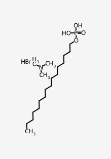 Br.CCCCCCCCCCCCCCCCOP(=O)(O)O.CN(C)C